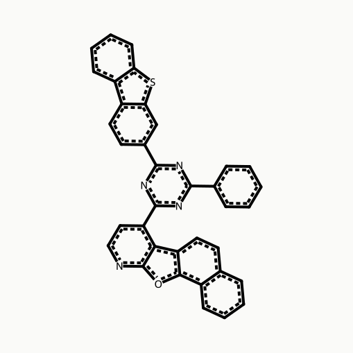 c1ccc(-c2nc(-c3ccc4c(c3)sc3ccccc34)nc(-c3ccnc4oc5c6ccccc6ccc5c34)n2)cc1